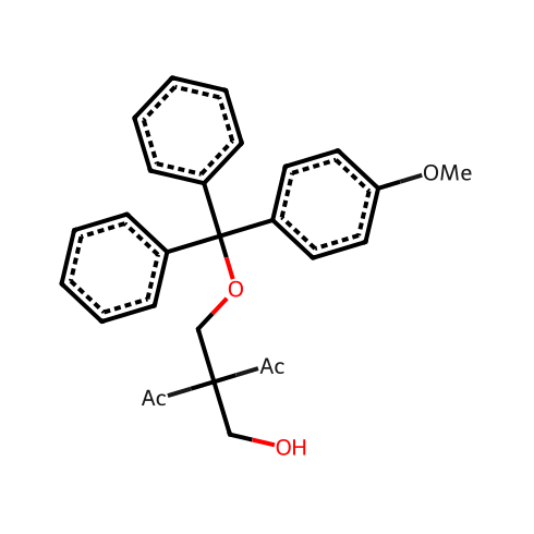 COc1ccc(C(OCC(CO)(C(C)=O)C(C)=O)(c2ccccc2)c2ccccc2)cc1